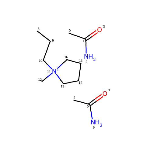 CC(N)=O.CC(N)=O.CCC[N+]1(C)CCCC1